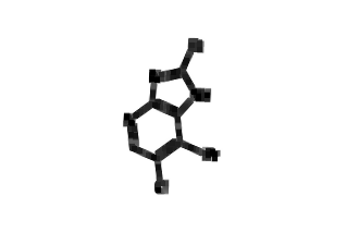 CCc1nc2ncc(Cl)c(C(C)C)c2[nH]1